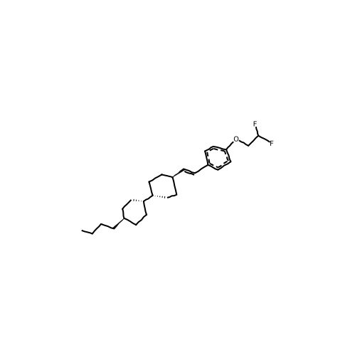 CCCC[C@H]1CC[C@H]([C@H]2CC[C@H](C=Cc3ccc(OCC(F)F)cc3)CC2)CC1